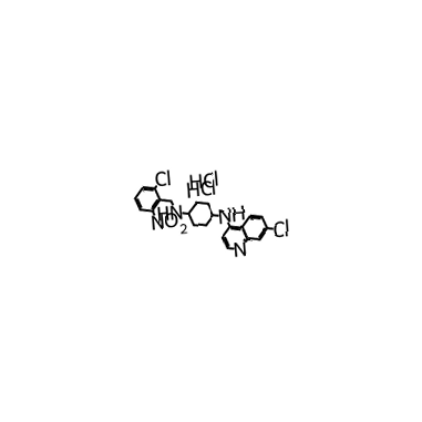 Cl.Cl.O=[N+]([O-])c1cccc(Cl)c1CNC1CCC(Nc2ccnc3cc(Cl)ccc23)CC1